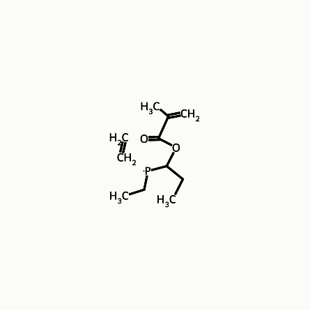 C=C.C=C(C)C(=O)OC(CC)[P]CC